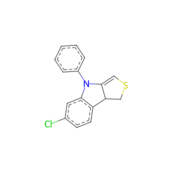 Clc1ccc2c(c1)N(c1ccccc1)C1=CSCC12